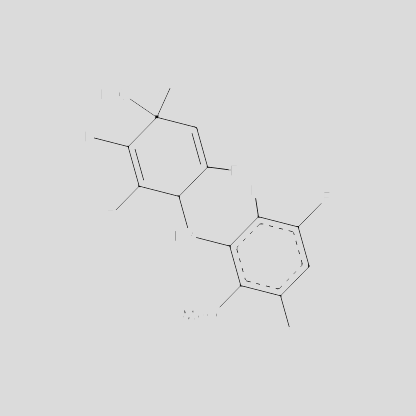 COc1c(F)cc(F)c(F)c1BC1C(F)=CC(C)(F)C(F)=C1F